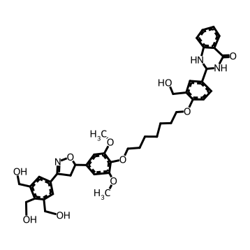 COc1cc(C2CC(c3cc(CO)c(CO)c(CO)c3)=NO2)cc(OC)c1OCCCCCCCOc1ccc(C2NC(=O)c3ccccc3N2)cc1CO